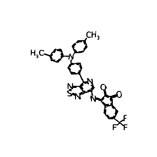 Cc1ccc(N(c2ccc(C)cc2)c2ccc(-c3ncc(/N=c4\c(=O)c(=O)c5cc(C(F)(F)F)ccc45)c4nsnc34)cc2)cc1